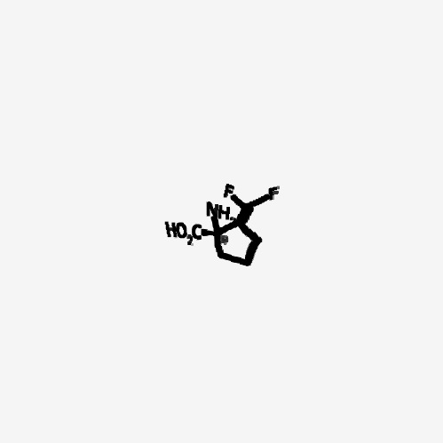 N[C@@]1(C(=O)O)CCCC1=C(F)F